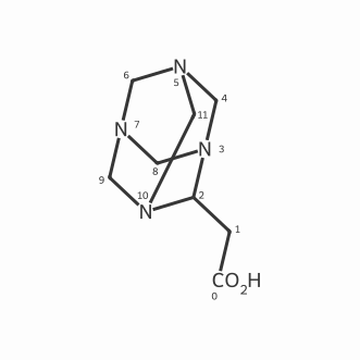 O=C(O)CC1N2CN3CN(C2)CN1C3